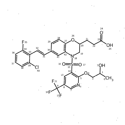 CC(O)COc1ncc(C(F)(F)F)cc1S(=O)(=O)N1CC(CCC(=O)O)Oc2ccc(C=Cc3c(F)cccc3Cl)cc21